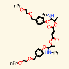 CCCOCCOCc1ccc(OC(NC(C)C)C(C)OC(=O)/C=C/C(=O)OC(C)C(NC(C)C)Oc2ccc(COCCOCCC)cc2)cc1